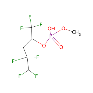 COP(=O)(O)OC(CC(F)(F)C(F)F)C(F)(F)F